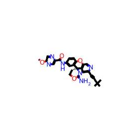 COc1cnc(C(=O)Nc2ccc3c(c2)[C@@]2(CCOC(N)=N2)c2cc(C#CC(C)(C)C)ncc2O3)cn1